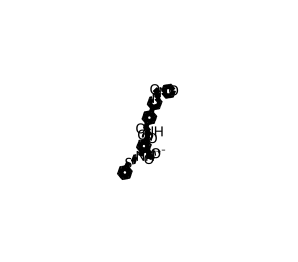 O=C(NS(=O)(=O)c1ccc(NCCSc2ccccc2)c([N+](=O)[O-])c1)c1ccc(C2=CCN(C(=O)N3CCOCC3)CC2)cc1